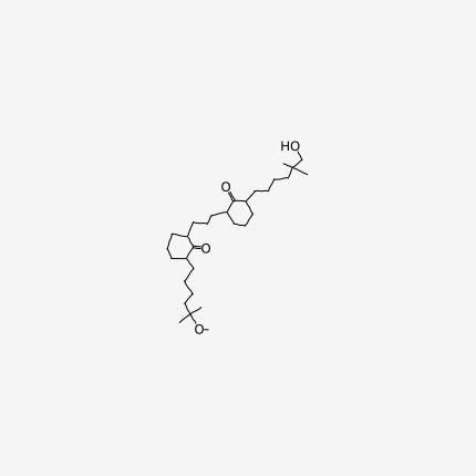 COC(C)(C)CCCCC1CCCC(CCCC2CCCC(CCCCC(C)(C)CO)C2=O)C1=O